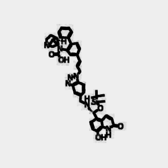 CC(C)(C)[Si](C)(C)O[C@@H](CNCc1ccc2c(c1)nnn2C/C=C/c1ccc(-c2ccccc2)c(N(C(=O)O)[C@H]2CN3CCC2CC3)c1)c1ccc(O)c2[nH]c(=O)ccc12